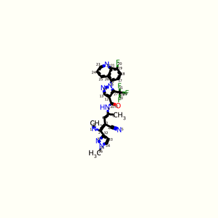 C=N/C(=C(C#N)\C=C(/C)NC(=O)c1cnn(-c2ccc(F)c3ncccc23)c1C(F)(F)F)c1ccn(C)n1